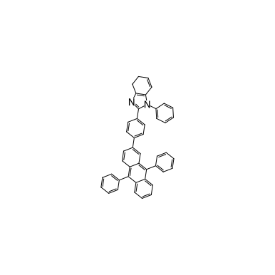 C1=Cc2c(nc(-c3ccc(-c4ccc5c(-c6ccccc6)c6ccccc6c(-c6ccccc6)c5c4)cc3)n2-c2ccccc2)CC1